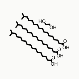 CC(C)CCCCCCCCCCCCCCC(=O)O.CC(C)CCCCCCCCCCCCCCC(=O)O.CC(C)CCCCCCCCCCCCCCC(=O)O.OCCO